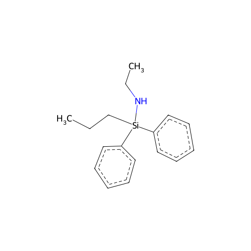 CCC[Si](NCC)(c1ccccc1)c1ccccc1